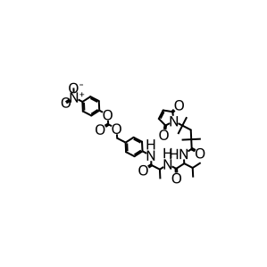 CC(NC(=O)C(NC(=O)C(C)(C)CC(C)(C)N1C(=O)C=CC1=O)C(C)C)C(=O)Nc1ccc(COC(=O)Oc2ccc([N+](=O)[O-])cc2)cc1